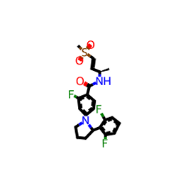 C[C@H](/C=C/S(C)(=O)=O)NC(=O)c1ccc(N2CCCC2c2c(F)cccc2F)cc1F